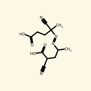 CC(CC(C#N)C(=O)O)N=NC(C)(C#N)CCC(=O)O